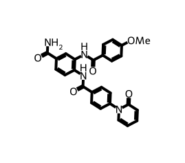 COc1ccc(C(=O)Nc2cc(C(N)=O)ccc2NC(=O)c2ccc(-n3ccccc3=O)cc2)cc1